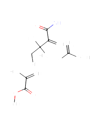 C=C(C(N)=O)C(C)(C)CC(C)(C)C.C=C(C)C(=O)O.C=C(C)C(=O)OCCC